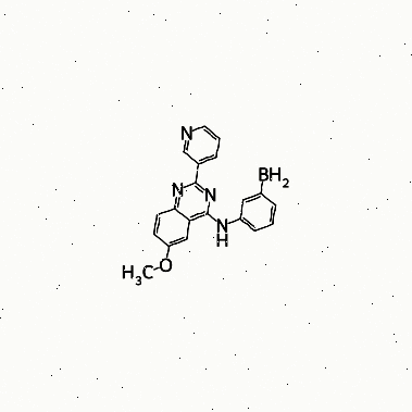 Bc1cccc(Nc2nc(-c3cccnc3)nc3ccc(OC)cc23)c1